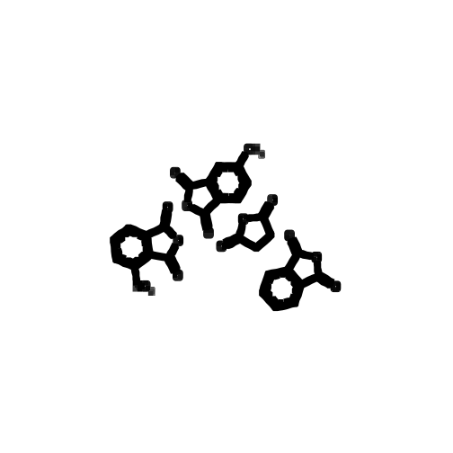 Cc1ccc2c(c1)C(=O)OC2=O.O=C1CCC(=O)O1.O=C1OC(=O)c2c1cccc2[N+](=O)[O-].O=C1OC(=O)c2ccccc21